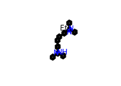 CCC1C(c2ccccc2)=NC(c2ccccc2)=NC1c1ccc(-c2ccc3ccc(-c4ccc(C5=NC(c6ccccc6)=CC(c6ccccc6)N5)cc4)cc3c2)cc1